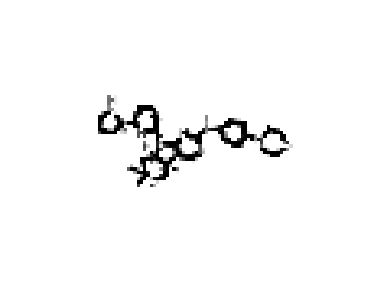 CC1(C)C[C@@H]2N(c3cccc([C@H]4CCCN4)n3)c3nc(Nc4ccc(N5CCOCC5)cc4)ncc3[C@]2(C)CO1